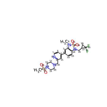 CN1c2cc(-c3ccnc(CN4CCN(S(C)(=O)=O)CC4)c3)ccc2N(CC2CC2(F)F)S1(=O)=O